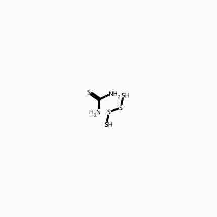 NC(N)=S.SSSS